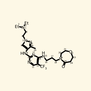 CCN(CC)CCn1cc(Nc2ncc(C(F)(F)F)c(NCCCN3CCOCCC3=O)n2)c(C)n1